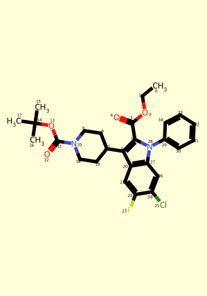 CCOC(=O)c1c(C2CCN(C(=O)OC(C)(C)C)CC2)c2cc(F)c(Cl)cc2n1-c1ccccc1